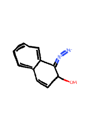 [N-]=[N+]=C1c2ccccc2C=CC1O